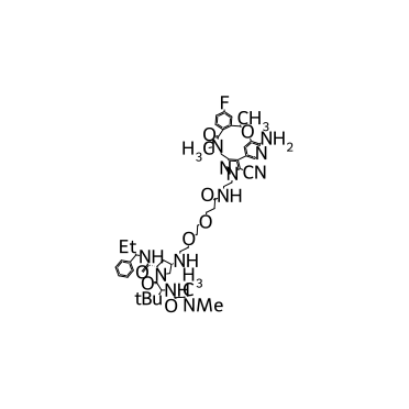 CC[C@@H](NC(=O)[C@@H]1C[C@H](NCCOCCOCCC(=O)NCCn2nc3c(c2C#N)-c2cnc(N)c(c2)O[C@H](C)c2cc(F)ccc2C(=O)N(C)C3)CN1C(=O)[C@@H](NC(=O)[C@H](C)NC)C(C)(C)C)c1ccccc1